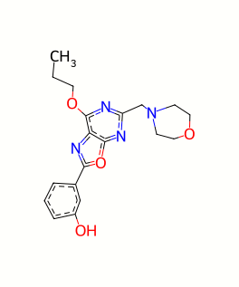 CCCOc1nc(CN2CCOCC2)nc2oc(-c3cccc(O)c3)nc12